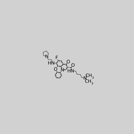 CN(C)CCCCNC(=O)c1cn2c3c(c(NCCN4CCCC4)c(F)cc3c1=O)Oc1ccccc1-2